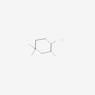 CC1CC(C)(C)CCC1C=O